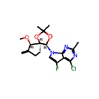 C=C1CC[C@@]2(OC(C)(C)O[C@H]2n2cc(F)c3c(Cl)nc(C)nc32)[C@@H]1OC